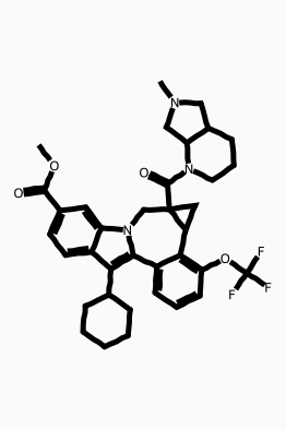 COC(=O)c1ccc2c(C3CCCCC3)c3n(c2c1)CC1(C(=O)N2CCCC4CN(C)CC42)CC1c1c(OC(F)(F)F)cccc1-3